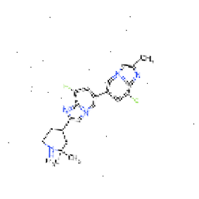 Cc1cn2cc(-c3cc(F)c4nc(C5CCNC(C)(C)C5)cn4c3)cc(F)c2n1